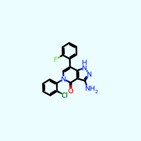 Nc1n[nH]c2c(-c3ccccc3F)cn(-c3ccccc3Cl)c(=O)c12